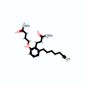 C#CCCCCCc1cccc(OCCCC(=O)OC)c1CCC(=O)OC